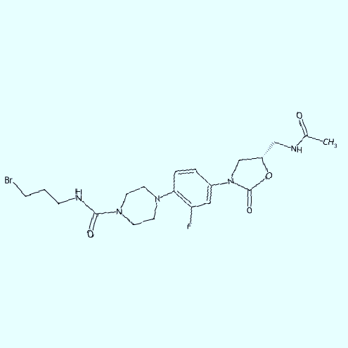 CC(=O)NC[C@H]1CN(c2ccc(N3CCN(C(=O)NCCCBr)CC3)c(F)c2)C(=O)O1